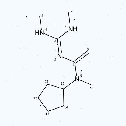 C=C(N=C(NC)NC)N(C)C1CCCC1